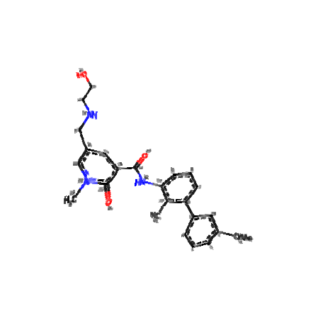 COc1cccc(-c2cccc(NC(=O)c3cc(CNCCO)cn(C)c3=O)c2C#N)c1